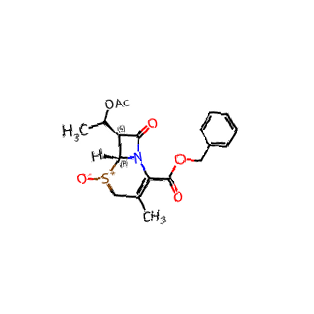 CC(=O)OC(C)[C@H]1C(=O)N2C(C(=O)OCc3ccccc3)=C(C)C[S+]([O-])[C@H]12